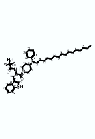 CCCCCCCCCCCCCCCCN(c1ccccc1)C1CCN(C(=O)[C@@H](Cc2c[nH]c3ccccc23)NC(=O)C(C)(C)N)CC1